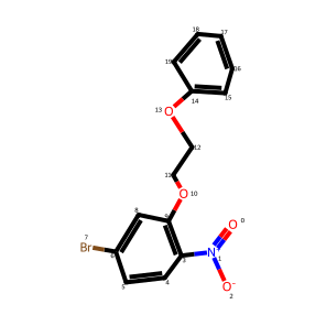 O=[N+]([O-])c1ccc(Br)cc1OCCOc1ccccc1